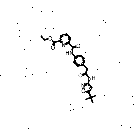 CCOC(=O)c1cccc(C(=O)Nc2ccc(CC(=O)Nc3cc(C(C)(C)C)on3)cc2)n1